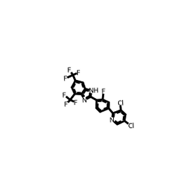 Fc1cc(-c2ncc(Cl)cc2Cl)ccc1-c1nc2c(C(F)(F)F)cc(C(F)(F)F)cc2[nH]1